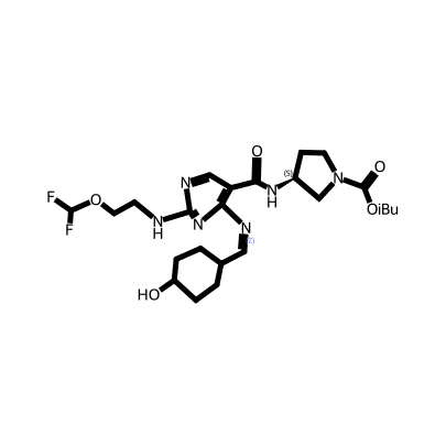 CC(C)COC(=O)N1CC[C@H](NC(=O)c2cnc(NCCOC(F)F)nc2/N=C\C2CCC(O)CC2)C1